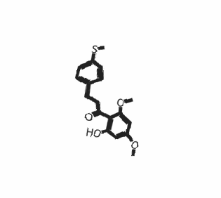 COc1cc(O)c(C(=O)CCc2ccc(SC)cc2)c(OC)c1